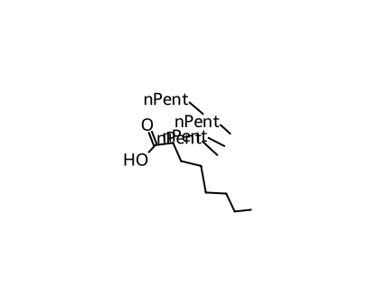 CCCCCC.CCCCCC.CCCCCC.CCCCCC.CCCCCCCC(=O)O